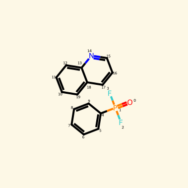 O=P(F)(F)c1ccccc1.c1ccc2ncccc2c1